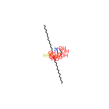 CCCCCCCCCCCCCCCCS(CCCCCCCCCCCCCCCC)=P(O)(O)S.C[N+](C)(C)CCOP(=O)(O)O.OCC(O)CO